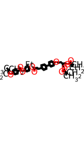 C=C(C)C(=C)Oc1ccc(C(=O)Oc2ccc(OC(=O)/C=C/c3ccc(-c4ccc(OCCC(COC(=O)C(=C)C)COC(=O)C(=C)C)cc4)cc3)c(CC)c2)cc1